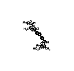 COC(=O)N[C@H](C(=O)N1CC(C)CC1c1nc(Cl)c(-c2ccc3cc(-c4ccc(-c5c[nH]c([C@@H]6C[C@H](C)CN6C(=O)[C@@H](NC(=O)O)C(C)C)n5)cc4)ccc3c2)[nH]1)C(C)C